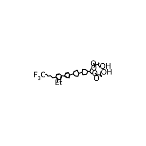 C=C(CO)C(=O)OCC(COC(=O)C(=C)CO)C1CCC(C2CCC(c3ccc(-c4ccc(CCCCC(F)(F)F)c(CC)c4)cc3)CC2)CC1